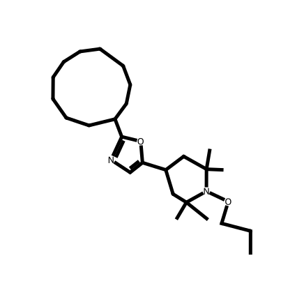 CCCON1C(C)(C)CC(c2cnc(C3CCCCCCCCCC3)o2)CC1(C)C